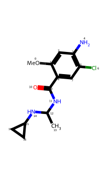 COc1cc(N)c(Cl)cc1C(=O)NC(C)NC1CC1